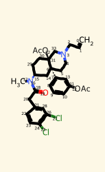 C=CCN1CC[C@@]2(c3cccc(OC(C)=O)c3)C[C@@H](N(C)C(=O)Cc3ccc(Cl)c(Cl)c3)CC[C@]2(OC(C)=O)C1